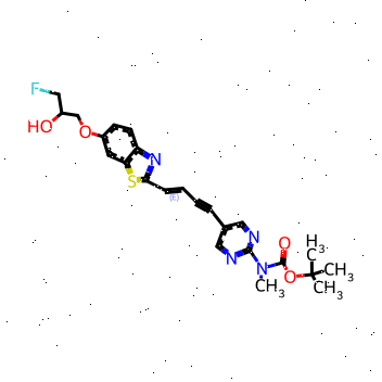 CN(C(=O)OC(C)(C)C)c1ncc(C#C/C=C/c2nc3ccc(OCC(O)CF)cc3s2)cn1